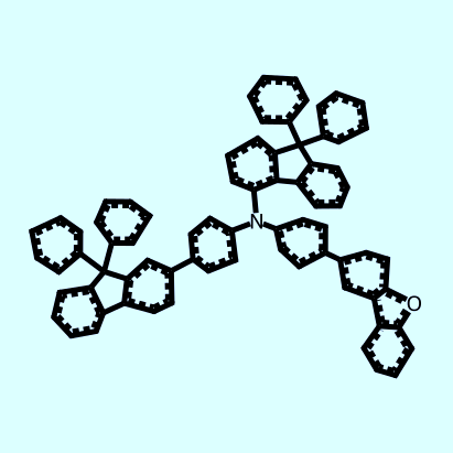 c1ccc(C2(c3ccccc3)c3ccccc3-c3ccc(-c4ccc(N(c5ccc(-c6ccc7oc8ccccc8c7c6)cc5)c5cccc6c5-c5ccccc5C6(c5ccccc5)c5ccccc5)cc4)cc32)cc1